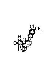 CCn1ccnc1C1(CCC(=O)N2Cc3cc(Cl)c(C(F)(F)F)cc3C2)NC(=O)NC1=O